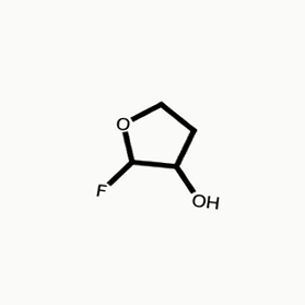 OC1CCOC1F